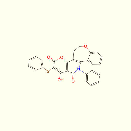 O=c1oc2c3c(n(-c4ccccc4)c(=O)c2c(O)c1Sc1ccccc1)-c1ccccc1OCC3